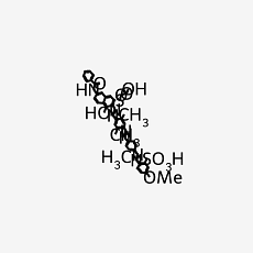 COc1ccc(N=Nc2ccc(N=Nc3cc(C)c(N=Nc4c(SOOO)cc5cc(NC(=O)c6ccccc6)ccc5c4O)cc3C)cc2C)c(S(=O)(=O)O)c1